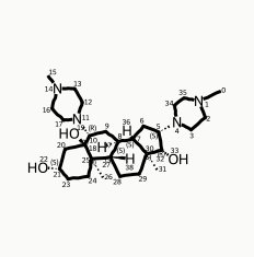 CN1CCN([C@H]2C[C@H]3[C@@H]4C[C@@H](N5CCN(C)CC5)[C@@]5(O)C[C@@H](O)CC[C@]5(C)[C@H]4CC[C@]3(C)[C@H]2O)CC1